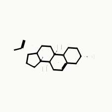 C=C(C)[C@H]1CC[C@H]2[C@@H]3CC=C4C[C@@H](O)CC[C@]4(C)[C@H]3CC[C@]12C